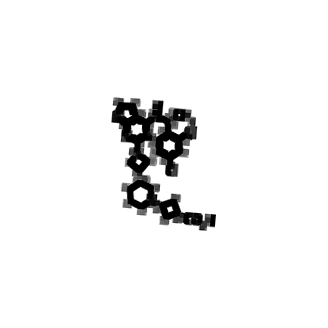 C[C@@H](Nc1nc(N2CC([C@H]3CCCN([C@H]4C[C@@H](C(=O)O)C4)C3)C2)nc2sccc12)c1ccc(Cl)cc1Cl